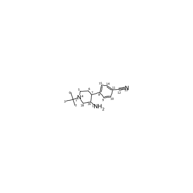 CC(C)(C)N1CCC(c2ccc(C#N)cc2)C(N)C1